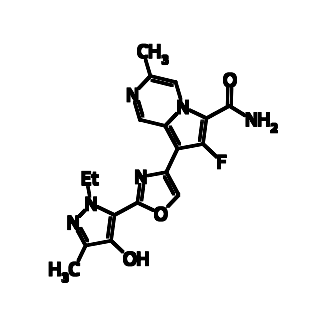 CCn1nc(C)c(O)c1-c1nc(-c2c(F)c(C(N)=O)n3cc(C)ncc23)co1